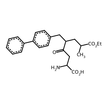 CCOC(=O)C(C)CC(Cc1ccc(-c2ccccc2)cc1)C(=O)CC(N)C(=O)O